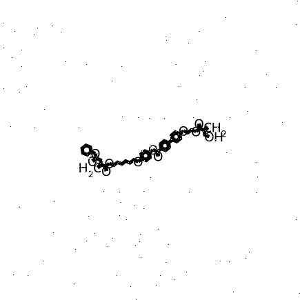 C=C(CO)C(=O)OCCOc1ccc(-c2ccc(C(=O)Oc3ccc(OCCCCCCOC(=O)C(=C)CC(=O)OC4CCCCC4)cc3)cc2)cc1